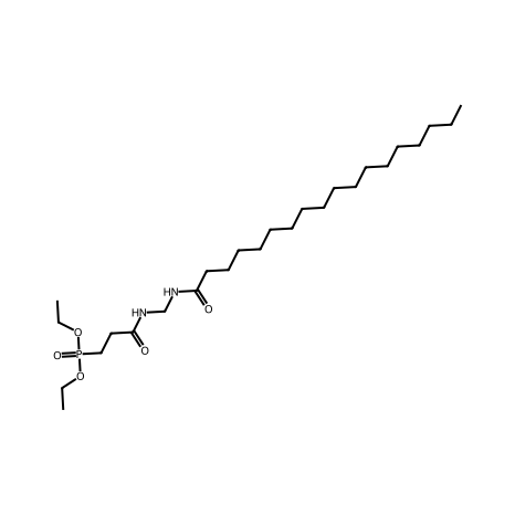 CCCCCCCCCCCCCCCCCC(=O)NCNC(=O)CCP(=O)(OCC)OCC